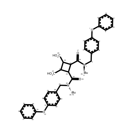 CC[C@H](C)N(Cc1ccc(Oc2ccccc2)cc1)C(=O)C1C(C(=O)O)C(C(=O)O)C1C(=O)N(Cc1ccc(Oc2ccccc2)cc1)[C@@H](C)CC